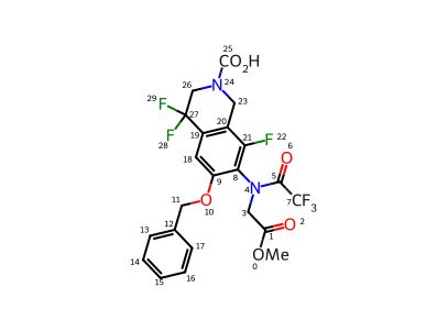 COC(=O)CN(C(=O)C(F)(F)F)c1c(OCc2ccccc2)cc2c(c1F)CN(C(=O)O)CC2(F)F